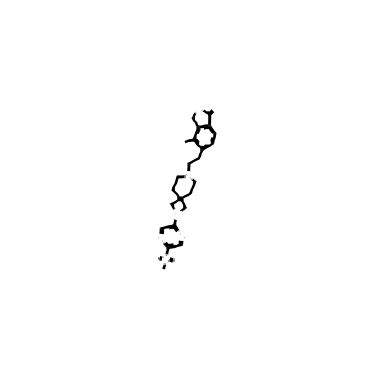 Cc1c(CCN2CCC3(CC2)CN(c2cnc(S(C)(=O)=O)cn2)C3)ccc2c1COC2=O